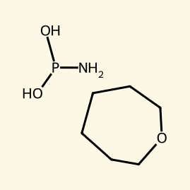 C1CCCOCC1.NP(O)O